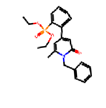 CCOP(=O)(OCC)c1ccccc1-c1cc(C)n(Cc2ccccc2)c(=O)c1